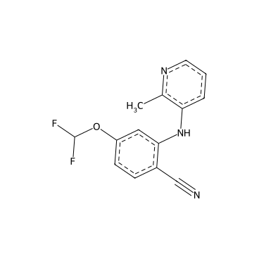 Cc1ncccc1Nc1cc(OC(F)F)ccc1C#N